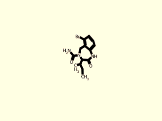 CCC(C)C1C(=O)Nc2cccc(Br)c2CN1C(N)=O